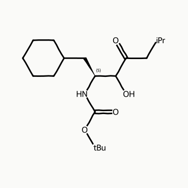 CC(C)CC(=O)C(O)[C@H](CC1CCCCC1)NC(=O)OC(C)(C)C